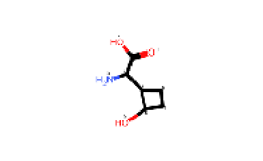 NC(C(=O)O)C1CCC1O